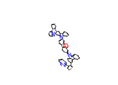 c1ccc(-c2ccccc2-c2ccc3c(c2)c2ccccc2n3-c2ccc3c(c2)oc2cc(-n4c5ccccc5c5cc(-c6ccccc6-c6ccccn6)ccc54)ccc23)nc1